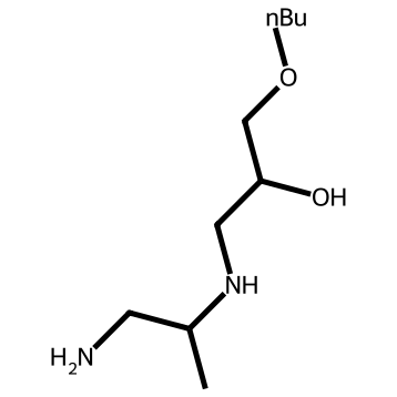 CCCCOCC(O)CNC(C)CN